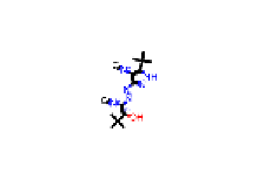 [C-]#[N+]C(/N=N/c1n[nH]c(C(C)(C)C)c1[N+]#[C-])=C(/O)C(C)(C)C